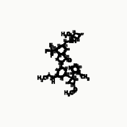 CCNc1cc(N2Cc3c(cc(CNC4(C)CCC4)cc3C(F)(F)F)C2=O)cc([C@]2(c3nncn3C)C[C@@H](OC)C2)c1